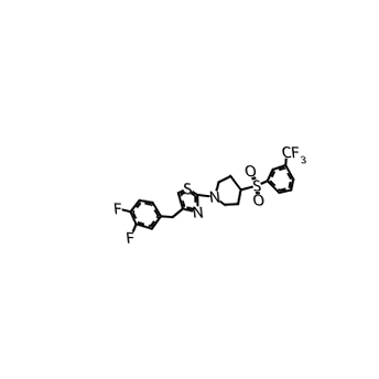 O=S(=O)(c1cccc(C(F)(F)F)c1)C1CCN(c2nc(Cc3ccc(F)c(F)c3)cs2)CC1